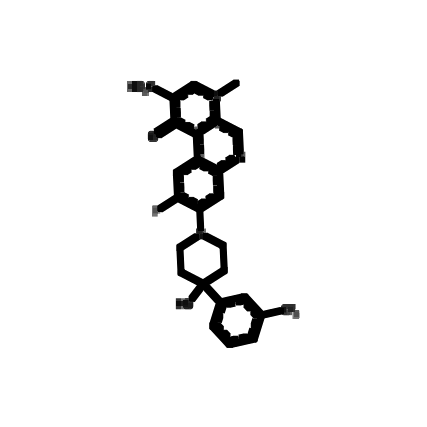 Cn1cc(C(=O)O)c(=O)c2c3cc(F)c(N4CCC(O)(c5cccc(C(F)(F)F)c5)CC4)cc3ncc21